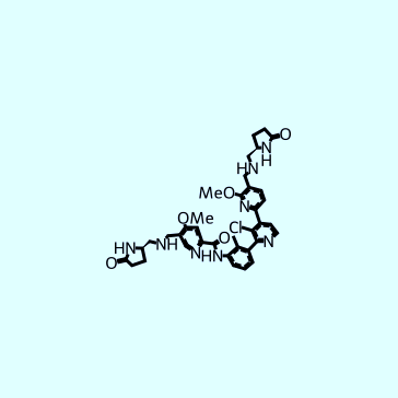 COc1cc(C(=O)Nc2cccc(-c3nccc(-c4ccc(CNC[C@H]5CCC(=O)N5)c(OC)n4)c3Cl)c2C)ncc1CNC[C@H]1CCC(=O)N1